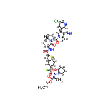 CCCOC(=O)[C@H](C)NP(=O)(Oc1ccccc1)[C@@H](F)c1ccc2sc(C(=O)N[C@H]3CCC[C@H]4CC[C@@H](C(=O)N5C[C@@H](c6cncc(Cl)c6)[C@H](C#N)C56CC6)N4C3=O)cc2c1